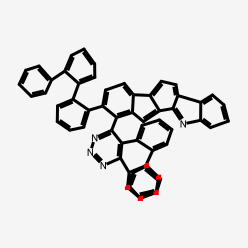 C1=c2c(ccc3c2=Nc2ccccc2-3)-c2ccc(-c3ccccc3-c3ccccc3-c3ccccc3)c(-c3nnnc(-c4ccccc4)c3-c3ccccc3-c3ccccc3)c21